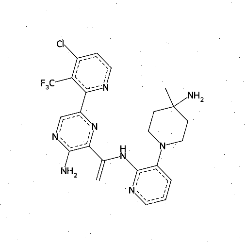 C=C(Nc1ncccc1N1CCC(C)(N)CC1)c1nc(-c2nccc(Cl)c2C(F)(F)F)cnc1N